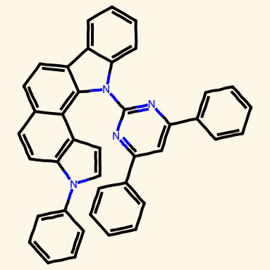 c1ccc(-c2cc(-c3ccccc3)nc(-n3c4ccccc4c4ccc5ccc6c(ccn6-c6ccccc6)c5c43)n2)cc1